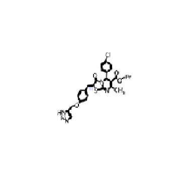 CC1=C(C(=O)OC(C)C)C(c2ccc(Cl)cc2)n2c(s/c(=C\c3ccc(OCc4cnn[nH]4)cc3)c2=O)=N1